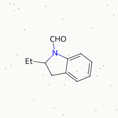 CCC1Cc2ccccc2N1C=O